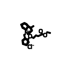 CCOC(=O)CCCOc1ccccc1C[n+]1ccc(C)c2ccccc21.[Cl-]